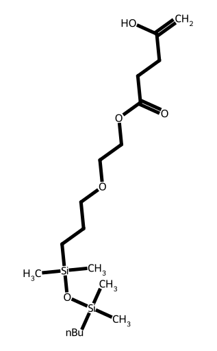 C=C(O)CCC(=O)OCCOCCC[Si](C)(C)O[Si](C)(C)CCCC